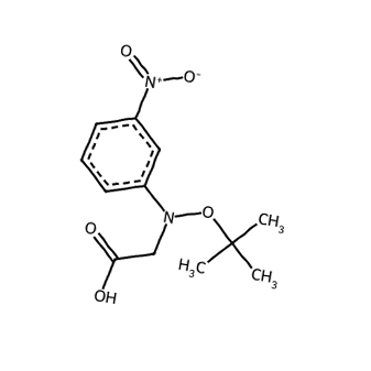 CC(C)(C)ON(CC(=O)O)c1cccc([N+](=O)[O-])c1